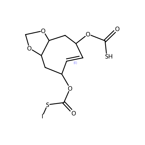 O=C(S)OC1/C=C/C(OC(=O)SI)CC2OCOC2C1